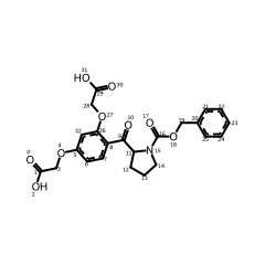 O=C(O)COc1ccc(C(=O)C2CCCN2C(=O)OCc2ccccc2)c(OCC(=O)O)c1